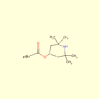 CCCCC(=O)OC1CC(C)(C)NC(C)(C)C1